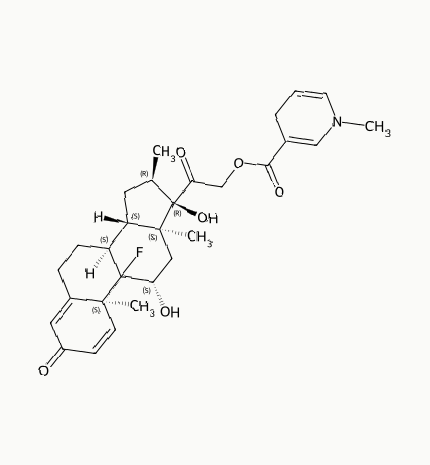 C[C@@H]1C[C@H]2[C@@H]3CCC4=CC(=O)C=C[C@]4(C)C3(F)[C@@H](O)C[C@]2(C)[C@@]1(O)C(=O)COC(=O)C1=CN(C)C=CC1